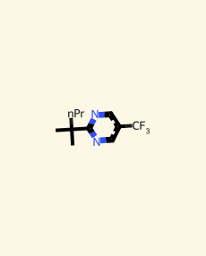 CCCC(C)(C)c1ncc(C(F)(F)F)cn1